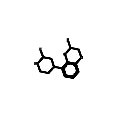 FC1CN(c2cccc3c2OC(F)CO3)CCN1